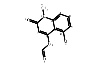 Cn1c(=O)cc(OC=O)c2c(Cl)cccc21